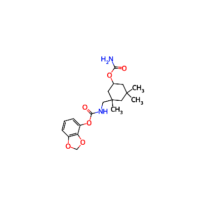 CC1(C)CC(OC(N)=O)CC(C)(CNC(=O)Oc2cccc3c2OCO3)C1